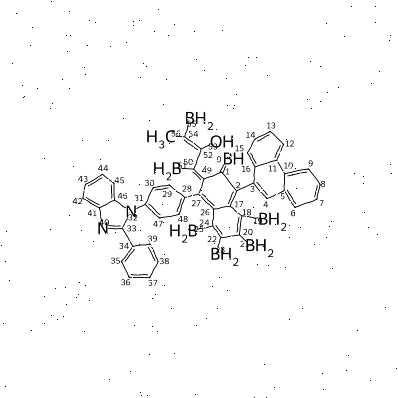 B=c1c(-c2cc3ccccc3c3ccccc23)c2c(B)c(B)c(B)c(B)c2c(-c2ccc(-n3c(-c4ccccc4)nc4ccccc43)cc2)/c1=C(B)/C(O)=C(/B)C